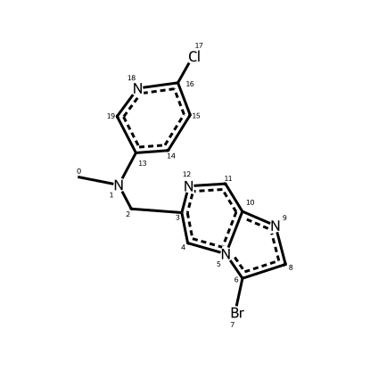 CN(Cc1cn2c(Br)cnc2cn1)c1ccc(Cl)nc1